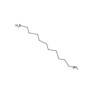 BCCCCCCCCCCB